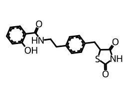 O=C1NC(=O)C(Cc2ccc(CCNC(=O)c3ccccc3O)cc2)S1